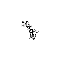 Cc1nc(NC(=O)C2CC2)sc1-c1cc2c(c(P(C)(C)=O)c1)C(=O)N(C(C)C1CC1)C2